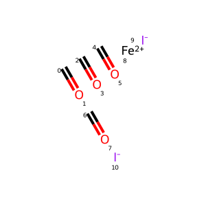 C=O.C=O.C=O.C=O.[Fe+2].[I-].[I-]